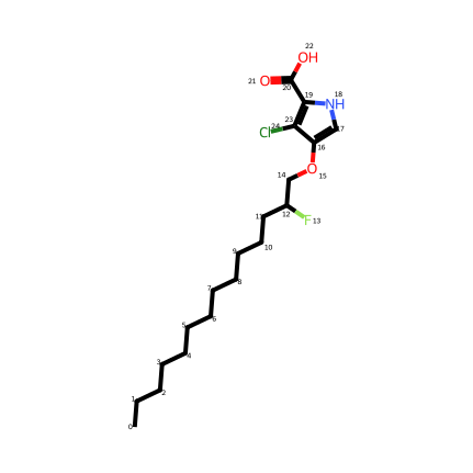 CCCCCCCCCCCCC(F)COc1c[nH]c(C(=O)O)c1Cl